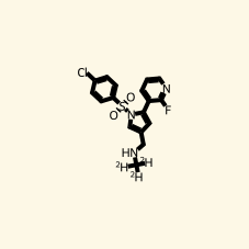 [2H]C([2H])([2H])NCc1cc(-c2cccnc2F)n(S(=O)(=O)c2ccc(Cl)cc2)c1